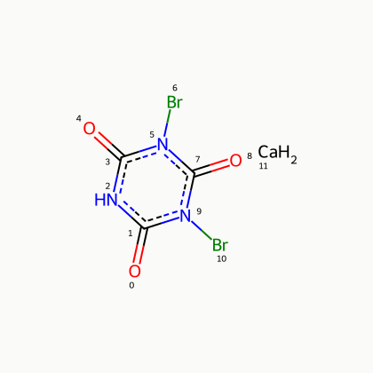 O=c1[nH]c(=O)n(Br)c(=O)n1Br.[CaH2]